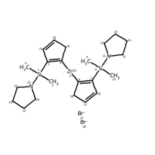 C[Si](C)(C1=[C]([Zr+2][C]2=C([Si](C)(C)N3CCCC3)C=CC2)CC=C1)N1CCCC1.[Br-].[Br-]